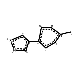 Cc1ccc(-c2cnsc2)cc1